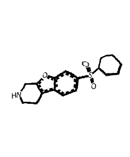 O=S(=O)(c1ccc2c3c(oc2c1)CNCC3)C1CCCCC1